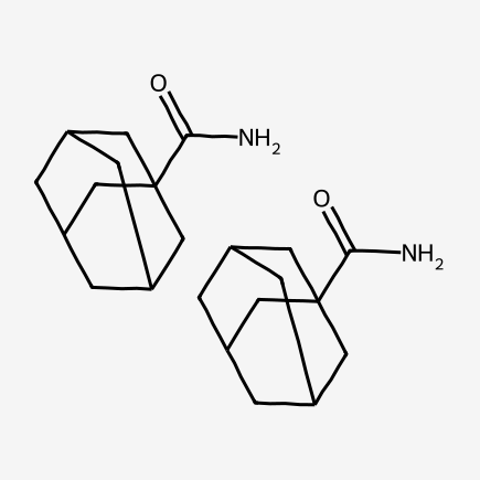 NC(=O)C12CC3CC(CC(C3)C1)C2.NC(=O)C12CC3CC(CC(C3)C1)C2